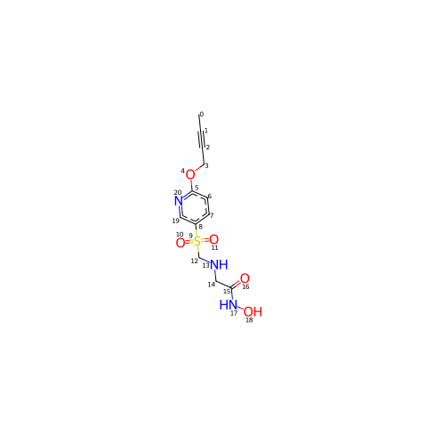 CC#CCOc1ccc(S(=O)(=O)CNCC(=O)NO)cn1